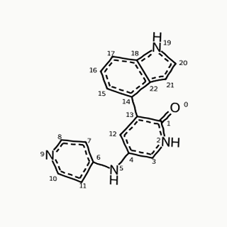 O=c1[nH]cc(Nc2ccncc2)cc1-c1cccc2[nH]ccc12